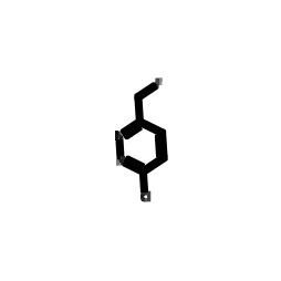 FCc1ccc(Cl)nn1